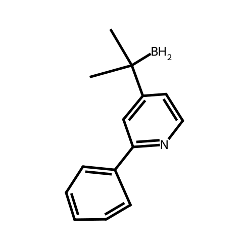 BC(C)(C)c1ccnc(-c2ccccc2)c1